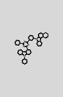 C1=Cc2c(ccc3c2c2ccccc2n3-c2cccc(-c3nc(-c4ccccc4)nc(-c4cccc5c4c4ccccc4n5-c4ccccc4)n3)c2)CC1